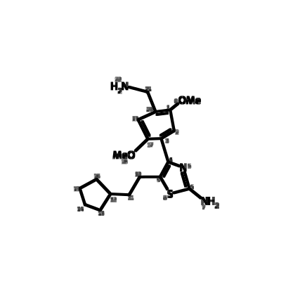 COc1cc(-c2nc(N)sc2CCC2CCCC2)c(OC)cc1CN